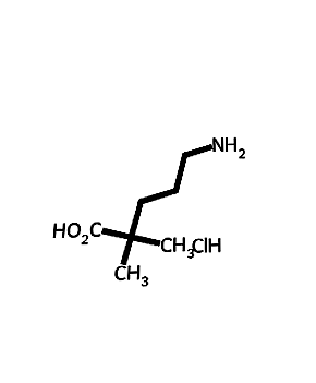 CC(C)(CCCN)C(=O)O.Cl